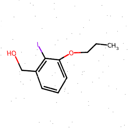 CCCOc1cccc(CO)c1I